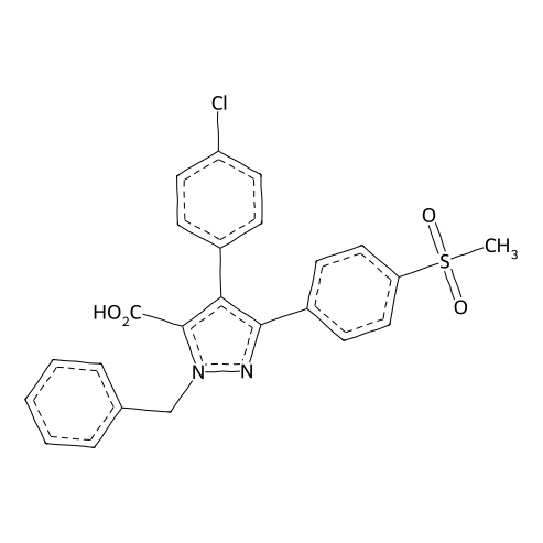 CS(=O)(=O)c1ccc(-c2nn(Cc3ccccc3)c(C(=O)O)c2-c2ccc(Cl)cc2)cc1